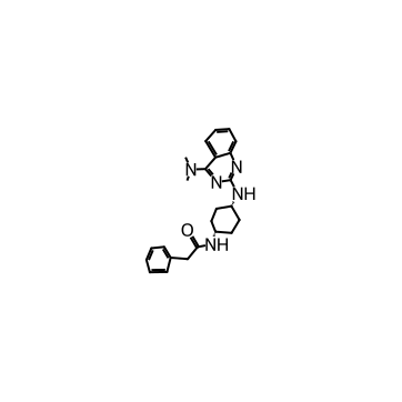 CN(C)c1nc(N[C@H]2CC[C@@H](NC(=O)Cc3ccccc3)CC2)nc2ccccc12